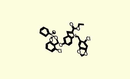 CCOC(=O)c1cc2cc(OC(OS(=O)(=O)c3ccccc3)c3ccccc3Cl)ccc2n1Cc1cc2c(cc1Cl)OCO2